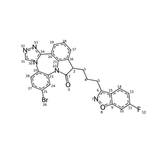 O=C1C(CCCc2noc3cc(F)ccc23)c2cccc3c2N1c1cc(Br)ccc1-n1cnnc1-3